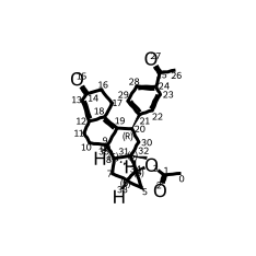 CC(=O)O[C@@]12C[C@@H]1C[C@H]1[C@@H]3CCC4=CC(=O)CCC4=C3[C@@H](c3ccc(C(C)=O)cc3)C[C@@]12C